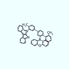 Cc1ccccc1-c1ccc(-c2ccc(C)c(-n3c4ccccc4n4c5ccccc5nc34)c2)cc1B1c2ccccc2Oc2ccccc21